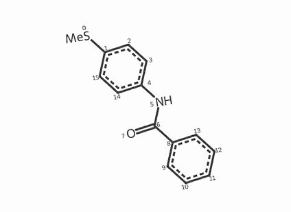 CSc1ccc(NC(=O)c2ccccc2)cc1